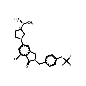 CN(C)[C@@H]1CCN(c2cc(Cl)c3c(c2)CN(Cc2ccc(OC(F)(F)F)cc2)C3=O)C1